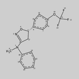 CN(C1=NO[C@H](c2ccc(OC(F)(F)F)cc2)C1)c1ccccc1